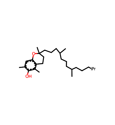 Cc1cc2c(c(C)c1O)CCC(C)(CCCC(C)CCCC(C)CCCC(C)C)O2